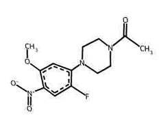 COc1cc(N2CCN(C(C)=O)CC2)c(F)cc1[N+](=O)[O-]